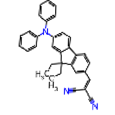 CCC1(CC)c2cc(C=C(C#N)C#N)ccc2-c2ccc(N(c3ccccc3)c3ccccc3)cc21